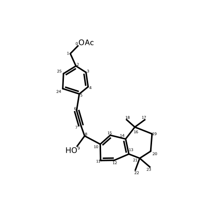 CC(=O)OCc1ccc(C#CC(O)c2ccc3c(c2)C(C)(C)CCC3(C)C)cc1